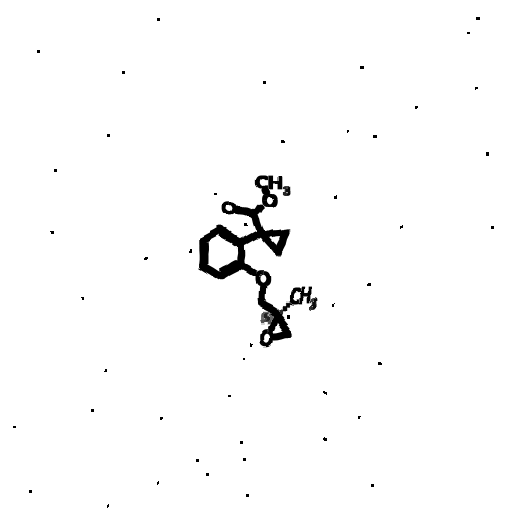 COC(=O)C1(c2ccccc2OC[C@@]2(C)CO2)CC1